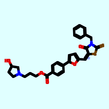 O=C(OCCCN1CCC(O)C1)c1ccc(-c2ccc(/C=C3/SC(=S)N(Cc4ccccc4)C3=O)o2)cc1